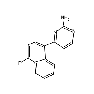 Nc1nccc(-c2ccc(F)c3ccccc23)n1